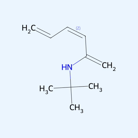 C=C/C=C\C(=C)NC(C)(C)C